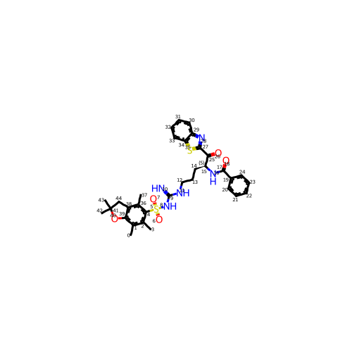 Cc1c(C)c(S(=O)(=O)NC(=N)NCCC[C@H](NC(=O)c2ccccc2)C(=O)c2nc3ccccc3s2)c(C)c2c1OC(C)(C)C2